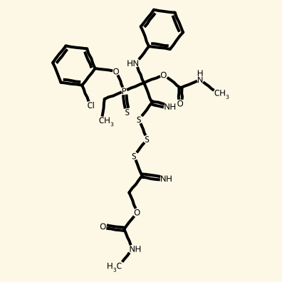 CCP(=S)(Oc1ccccc1Cl)C(Nc1ccccc1)(OC(=O)NC)C(=N)SSSC(=N)COC(=O)NC